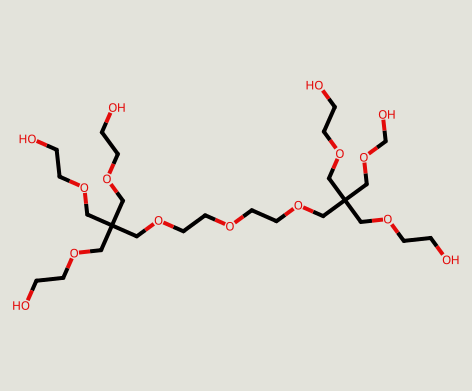 OCCOCC(COCO)(COCCO)COCCOCCOCC(COCCO)(COCCO)COCCO